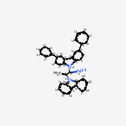 C=C(C(=N)n1c2ccc(-c3ccccc3)cc2c2cc(-c3ccccc3)ccc21)n1c2ccccc2c2ccccc21